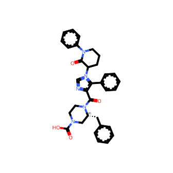 O=C(O)N1CCN(C(=O)c2ncn(C3CCCN(c4ccccc4)C3=O)c2-c2ccccc2)[C@H](Cc2ccccc2)C1